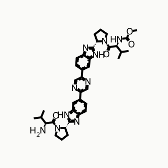 COC(=O)N[C@H](C(=O)N1CCC[C@H]1c1nc2ccc(-c3cnc(-c4ccc5nc([C@@H]6CCCN6C(=O)[C@@H](N)C(C)C)[nH]c5c4)cn3)cc2[nH]1)C(C)C